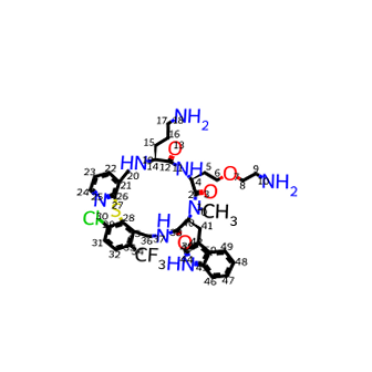 CN1C(=O)[C@H](CCOCCN)NC(=O)[C@H](CCCN)NCc2cccnc2Sc2c(Cl)ccc(C(F)(F)F)c2CNC(=O)[C@@H]1Cc1c[nH]c2ccccc12